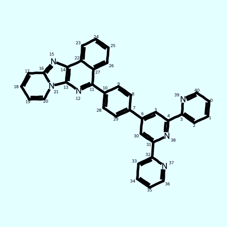 c1ccc(-c2cc(-c3ccc(-c4nc5c(nc6ccccn65)c5ccccc45)cc3)cc(-c3ccccn3)n2)nc1